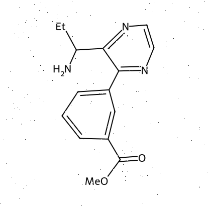 CCC(N)c1nccnc1-c1cccc(C(=O)OC)c1